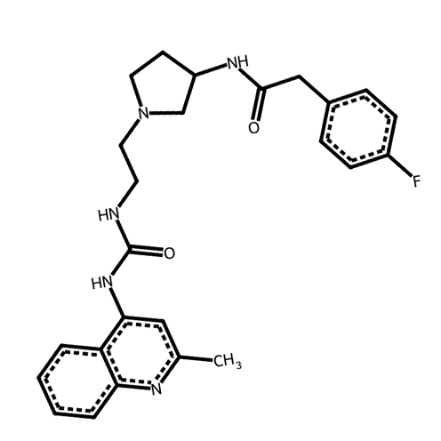 Cc1cc(NC(=O)NCCN2CCC(NC(=O)Cc3ccc(F)cc3)C2)c2ccccc2n1